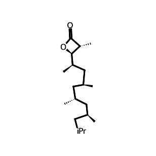 CC(C)C[C@H](C)C[C@H](C)C[C@H](C)C[C@@H](C)[C@H]1OC(=O)[C@@H]1C